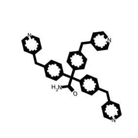 NC(=O)C(c1ccc(Cc2ccncc2)cc1)(c1ccc(Cc2ccncc2)cc1)c1ccc(Cc2ccncc2)cc1